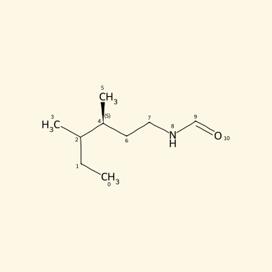 CCC(C)[C@@H](C)CCNC=O